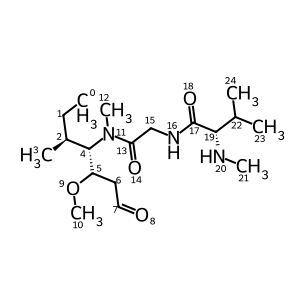 CC[C@H](C)[C@@H](C(CC=O)OC)N(C)C(=O)CNC(=O)[C@@H](NC)C(C)C